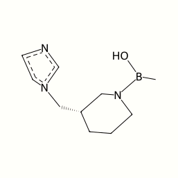 CB(O)N1CCC[C@H](Cn2ccnc2)C1